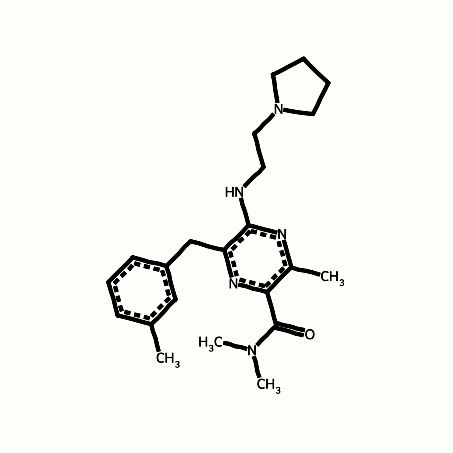 Cc1cccc(Cc2nc(C(=O)N(C)C)c(C)nc2NCCN2CCCC2)c1